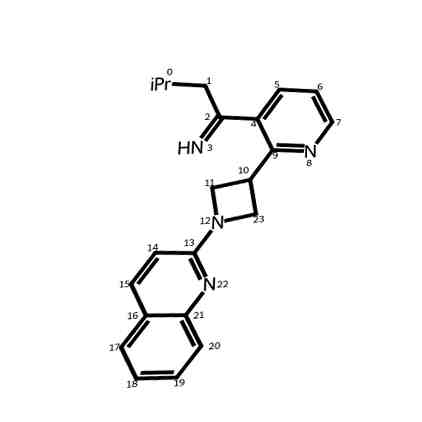 CC(C)CC(=N)c1cccnc1C1CN(c2ccc3ccccc3n2)C1